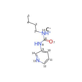 [CH2-][NH+](CCCC)C(=O)Nc1cccnc1